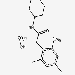 COc1cc(C)cc(C)c1CC(=O)NC1CCCCC1.O=C(O)O